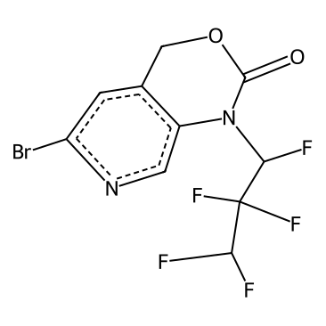 O=C1OCc2cc(Br)ncc2N1C(F)C(F)(F)C(F)F